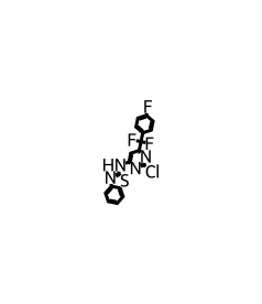 Fc1ccc(C(F)(F)c2cc(Nc3nc4ccccc4s3)nc(Cl)n2)cc1